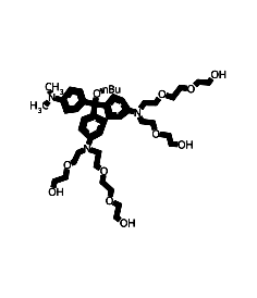 CCCCOC(c1ccc(N(C)C)cc1)(c1ccc(N(CCOCCO)CCOCCOCCO)cc1)c1ccc(N(CCOCCO)CCOCCOCCO)cc1